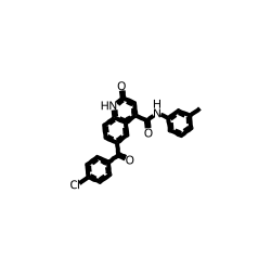 Cc1cccc(NC(=O)c2cc(=O)[nH]c3ccc(C(=O)c4ccc(Cl)cc4)cc23)c1